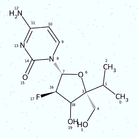 CC(C)[C@]1(CO)O[C@@H](n2ccc(N)nc2=O)[C@H](F)C1O